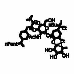 CCCCCC(C)C1CCC(C[C@H](OC2C(NC(C)=O)[C@H](O[C@@H]3CC(C(I)(CC)CCCC)CC(CC)C3O[C@@H]3OC(C)[C@@H](O)C(O)C3O)OC(CO)[C@@H]2O)C(=O)N(C)C)CC1